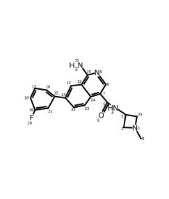 CN1CC(NC(=O)c2cnc(N)c3cc(-c4cccc(F)c4)ccc23)C1